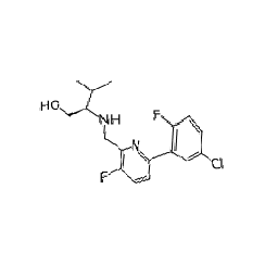 CC(C)[C@H](CO)NCc1nc(-c2cc(Cl)ccc2F)ccc1F